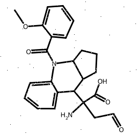 COc1ccccc1C(=O)N1c2ccccc2C(C(N)(CC=O)C(=O)O)C2CCCC21